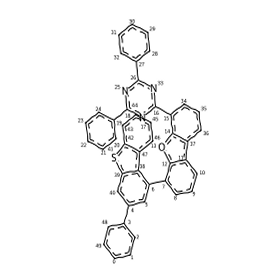 c1ccc(-c2cc(-c3cccc4c3oc3c(-c5nc(-c6ccccc6)nc(-c6ccccc6)n5)cccc34)c3c(c2)sc2ccccc23)cc1